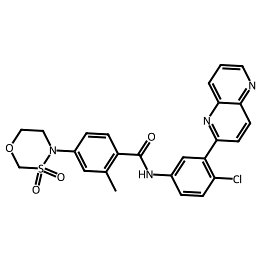 Cc1cc(N2CCOCS2(=O)=O)ccc1C(=O)Nc1ccc(Cl)c(-c2ccc3ncccc3n2)c1